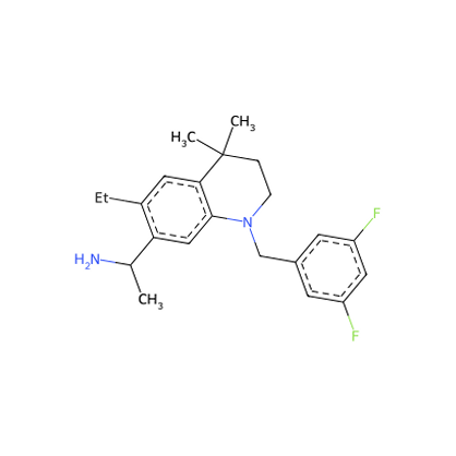 CCc1cc2c(cc1C(C)N)N(Cc1cc(F)cc(F)c1)CCC2(C)C